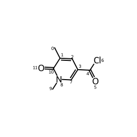 Cc1cc(C(=O)Cl)cn(C)c1=O